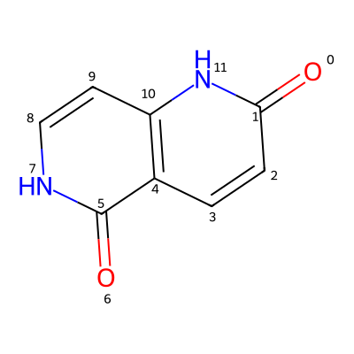 O=c1ccc2c(=O)[nH]ccc2[nH]1